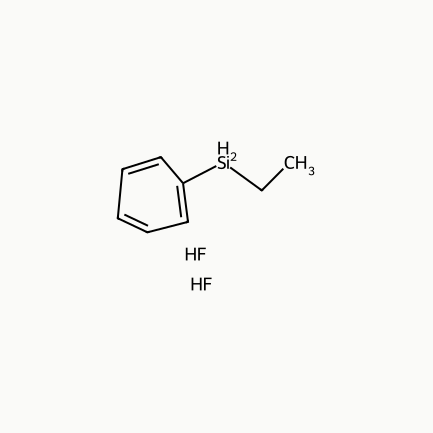 CC[SiH2]c1ccccc1.F.F